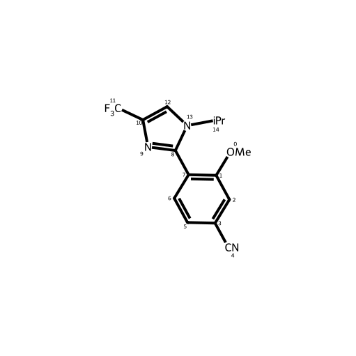 COc1cc(C#N)ccc1-c1nc(C(F)(F)F)cn1C(C)C